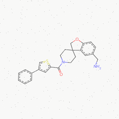 NCc1ccc2c(c1)C1(CCN(C(=O)c3cc(-c4ccccc4)cs3)CC1)CO2